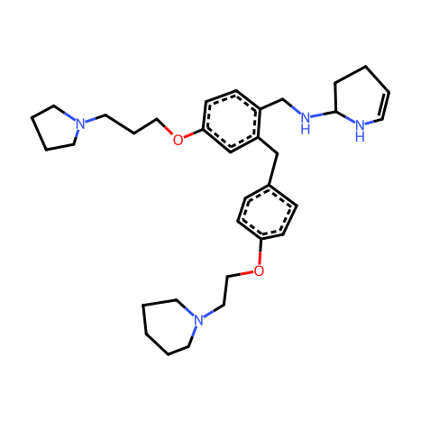 C1=CNC(NCc2ccc(OCCCN3CCCC3)cc2Cc2ccc(OCCN3CCCCC3)cc2)CC1